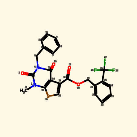 Cn1c(=O)n(Cc2ccccc2)c(=O)c2c(C(=O)OCc3ccccc3C(F)(F)F)csc21